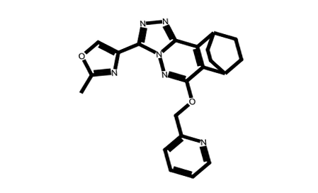 Cc1nc(-c2nnc3c4c(c(OCc5ccccn5)nn23)C2CCC4CC2)co1